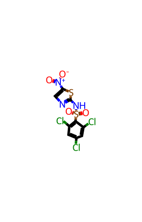 O=[N+]([O-])c1cnc(NS(=O)(=O)c2c(Cl)cc(Cl)cc2Cl)s1